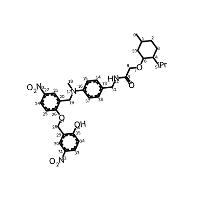 CC1CCC(C(C)C)C(OCC(=O)NCc2ccc(N(C)Cc3cc([N+](=O)[O-])ccc3OCc3cc([N+](=O)[O-])ccc3O)cc2)C1